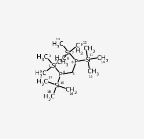 C[Si](C)(C)P(CP([Si](C)(C)C)[Si](C)(C)C)[Si](C)(C)C